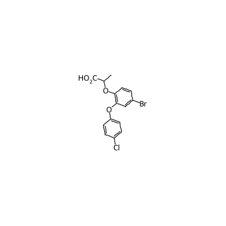 CC(Oc1ccc(Br)cc1Oc1ccc(Cl)cc1)C(=O)O